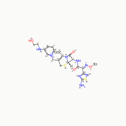 CCON=C(C(=O)NC1C(=O)N2C(C(=O)[O-])=C(C[n+]3cccc(NCCO)c3)CS[C@@H]12)c1nsc(N)n1